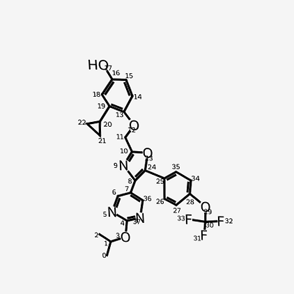 CC(C)Oc1ncc(-c2nc(COc3ccc(O)cc3C3CC3)oc2-c2ccc(OC(F)(F)F)cc2)cn1